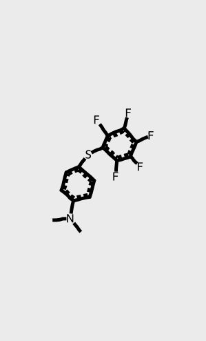 CN(C)c1ccc(Sc2c(F)c(F)c(F)c(F)c2F)cc1